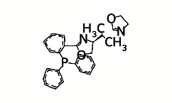 C1=NCCO1.CC(C)[C@H]1COC(c2ccccc2P(c2ccccc2)c2ccccc2)=N1